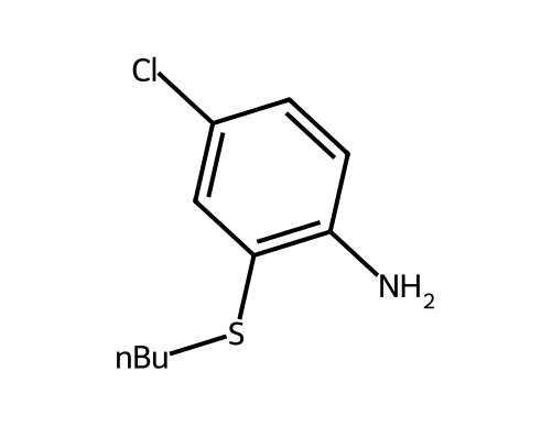 [CH2]CCCSc1cc(Cl)ccc1N